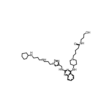 O=C(CCCCN1CCC(Nc2nc(NCc3cn(CCCNCCCNC4CCCCC4)nn3)nc3ccccc23)CC1)NCCCO